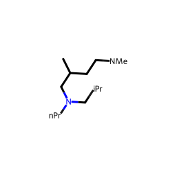 CCCN(CC(C)C)CC(C)CCNC